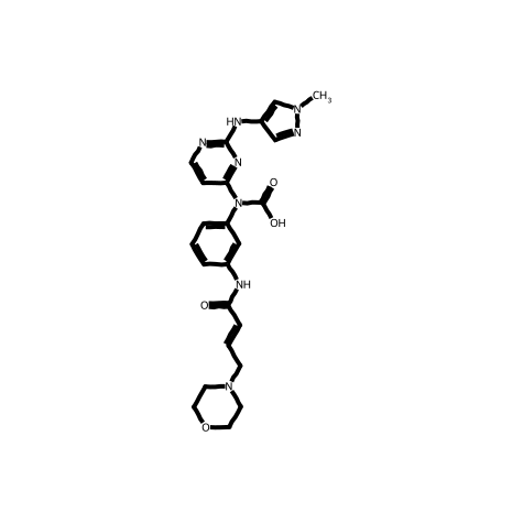 Cn1cc(Nc2nccc(N(C(=O)O)c3cccc(NC(=O)C=CCN4CCOCC4)c3)n2)cn1